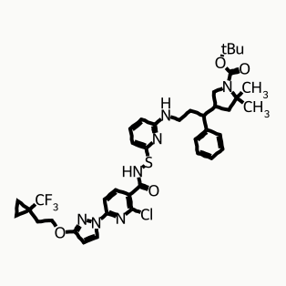 CC(C)(C)OC(=O)N1CC(C(CCNc2cccc(SNC(=O)c3ccc(-n4ccc(OCCC5(C(F)(F)F)CC5)n4)nc3Cl)n2)c2ccccc2)CC1(C)C